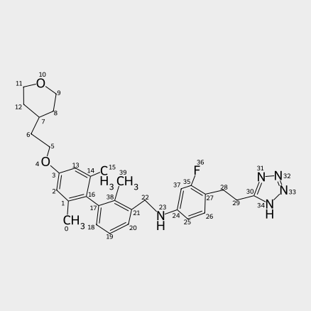 Cc1cc(OCCC2CCOCC2)cc(C)c1-c1cccc(CNc2ccc(CCc3nnn[nH]3)c(F)c2)c1C